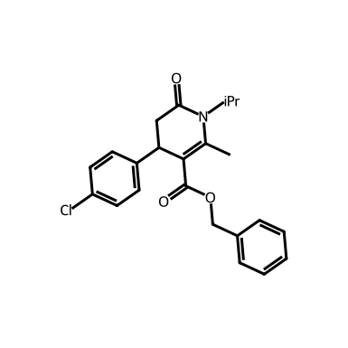 CC1=C(C(=O)OCc2ccccc2)C(c2ccc(Cl)cc2)CC(=O)N1C(C)C